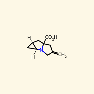 C=C1CN2[C@H]3C[C@H]3CC2(C(=O)O)C1